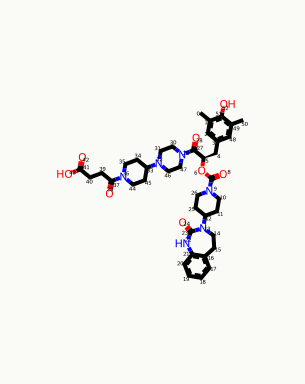 Cc1cc(C[C@@H](OC(=O)N2CCC(N3CCc4ccccc4NC3=O)CC2)C(=O)N2CCN(C3CCN(C(=O)CCC(=O)O)CC3)CC2)cc(C)c1O